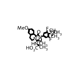 COc1ccc2c(c1)CCN(C(=O)NC(C)(C)C(=O)O)[C@H]2C(=O)Nc1cc(F)c([Si](C)(C)C)c(F)c1